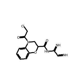 N=CC(=N)NC(=O)C1CN(C(=O)CCl)c2ccccc2O1